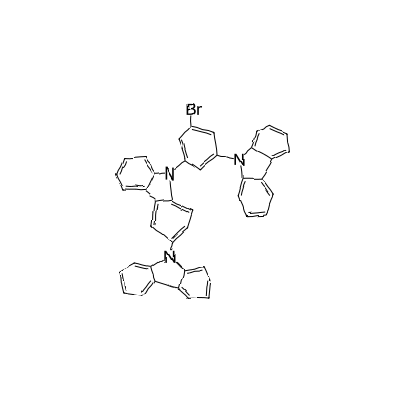 Brc1cc(-n2c3ccccc3c3ccccc32)cc(-n2c3ccccc3c3cc(-n4c5ccccc5c5ccccc54)ccc32)c1